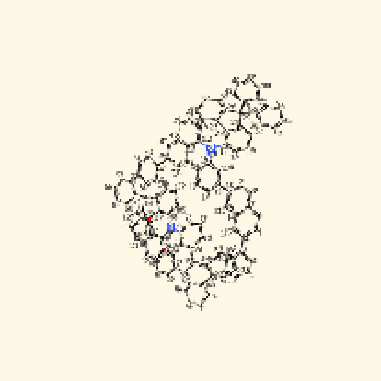 c1ccc(-c2ccc3ccc(-c4cccc(N(c5cccc6c5-c5ccccc5C6(c5ccccc5)c5ccccc5)c5cccc6cc(-c7cccc(C8(c9ccccc9)c9ccccc9-c9c(N(c%10cccc(-c%11c(-c%12ccccc%12)c%12ccccc%12c%12ccccc%11%12)c%10)c%10cccc%11ccccc%10%11)cccc98)c7)ccc56)c4)cc3c2)cc1